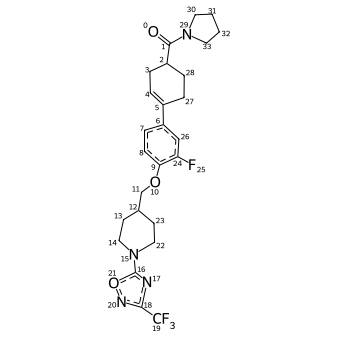 O=C(C1CC=C(c2ccc(OCC3CCN(c4nc(C(F)(F)F)no4)CC3)c(F)c2)CC1)N1CCCC1